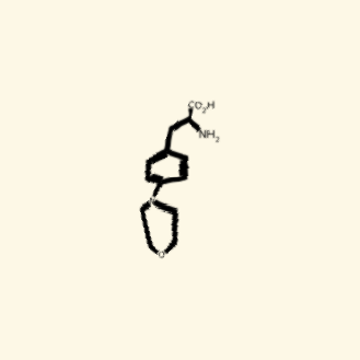 N[C@@H](Cc1ccc(N2CCOCC2)cc1)C(=O)O